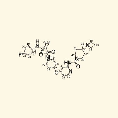 O=C(Nc1cc(Oc2ccc(NC(=O)C3(C(=O)Nc4ccc(F)cc4)CC3)cc2)ccn1)N1CCC(CN2CCC2)CC1